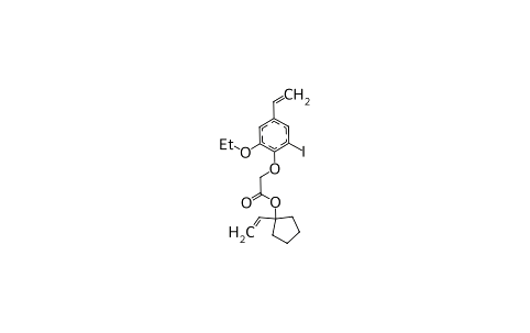 C=Cc1cc(I)c(OCC(=O)OC2(C=C)CCCC2)c(OCC)c1